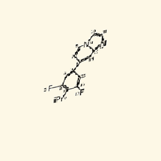 CC(C)c1c(F)cc(-c2ccn3ccnc3c2)cc1F